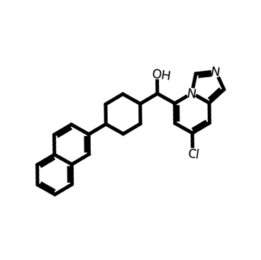 OC(c1cc(Cl)cc2cncn12)C1CCC(c2ccc3ccccc3c2)CC1